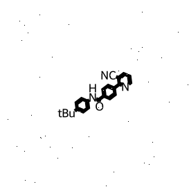 CC(C)(C)c1ccc(NC(=O)c2ccc(-c3ncccc3C#N)cc2)cc1